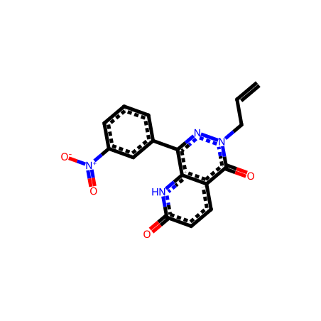 C=CCn1nc(-c2cccc([N+](=O)[O-])c2)c2[nH]c(=O)ccc2c1=O